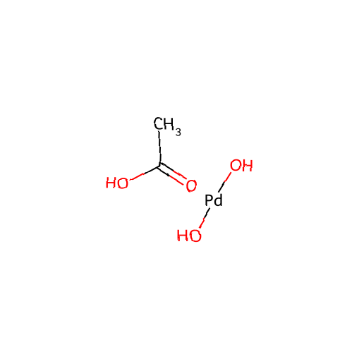 CC(=O)O.[OH][Pd][OH]